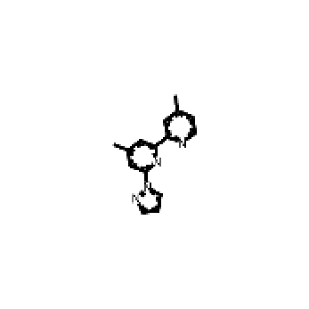 Cc1ccnc(-c2cc(C)cc(-n3cccn3)n2)c1